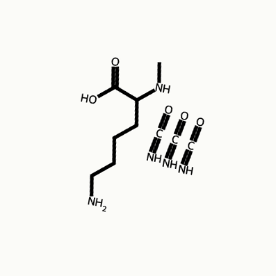 CNC(CCCCN)C(=O)O.N=C=O.N=C=O.N=C=O